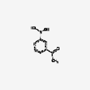 CC(=O)c1cncc(B(O)O)c1